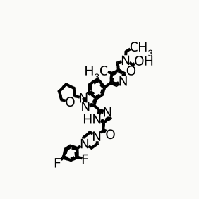 CCN(Cc1cncc(-c2ccc3c(c2)c(-c2ncc(C(=O)N4CCN(c5ccc(F)cc5F)CC4)[nH]2)nn3C2CCCCO2)c1C)C(=O)O